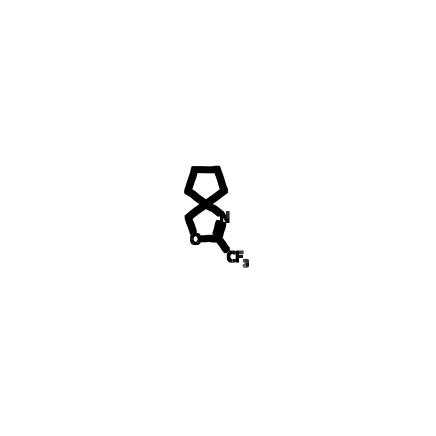 FC(F)(F)C1=NC2(CCCC2)CO1